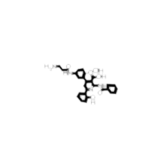 Cl.NCCC(=O)Nc1cccc(-c2cc(-c3ccccc3O)nc(NC(=O)c3ccccc3)c2C(=O)O)c1